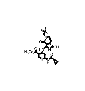 CNC(=O)c1cnc(NC(=O)C2CC2)cc1Nc1nn(C)c2ccn(CC(F)(F)F)c(=O)c12